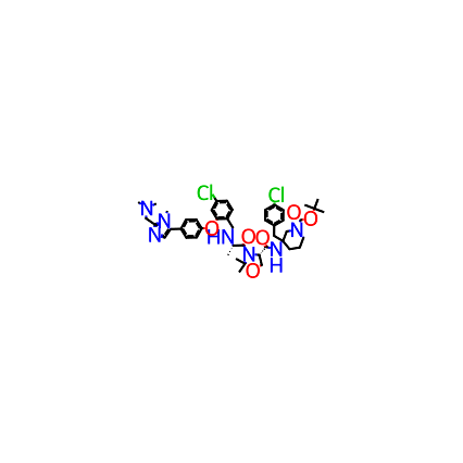 C[C@H](NCc1ccc(Cl)cc1Oc1ccc(-c2cnc(CN(C)C)n2C)cc1)C(=O)N1[C@H](C(=O)NC2(Cc3ccc(Cl)cc3)CCCN(C(=O)OC(C)(C)C)C2)COC1(C)C